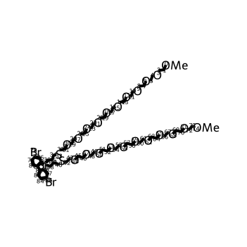 COCCOCCOCCOCCOCCOCCOCCOCCOCCOCCOCCSCCC[Si]1(CCCSCCOCCOCCOCCOCCOCCOCCOCCOCCOCCOCCOC)c2cc(Br)ccc2-c2ccc(Br)cc21